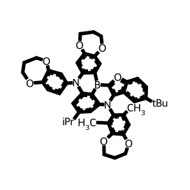 Cc1cc2c(c(C)c1N1c3cc(C(C)C)cc4c3B(c3cc5c(cc3N4c3ccc4c(c3)OCCCO4)OCCCO5)c3oc4ccc(C(C)(C)C)cc4c31)OCCCO2